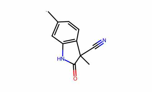 [CH2]c1ccc2c(c1)NC(=O)C2(C)C#N